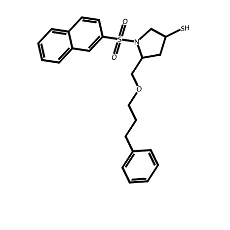 O=S(=O)(c1ccc2ccccc2c1)N1CC(S)CC1COCCCc1ccccc1